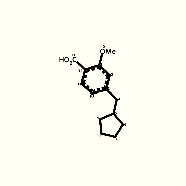 COc1cc(CC2CCCC2)ccc1C(=O)O